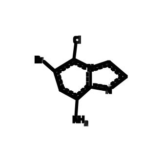 Nc1cc(Br)c(Cl)n2ccnc12